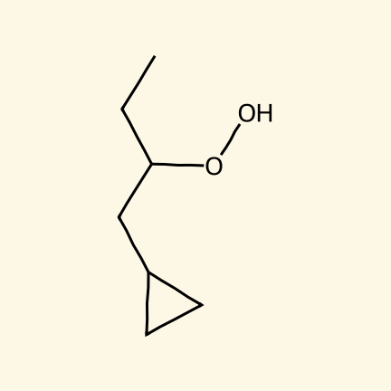 CCC(CC1CC1)OO